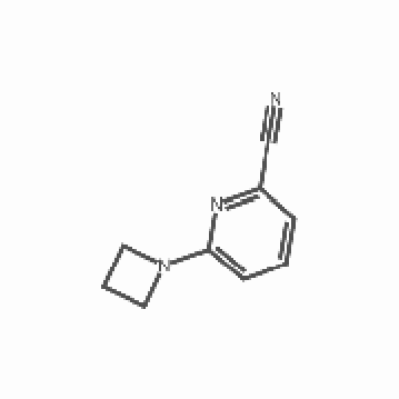 N#Cc1cccc(N2CCC2)n1